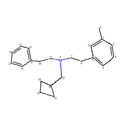 Cc1cccc(CCN(CCc2ccccc2)CC2CCC2)c1